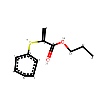 C=C(Sc1ccccc1)C(=O)OCCC